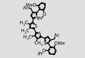 COc1cccc(OC(C)C)c1-c1sc(-c2sc(-c3sc(-c4cc(CC(C)=O)c(-c5c(OC)cccc5OC(C)C)s4)c(C)c3C)c(C)c2C)cc1CC(C)=O